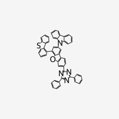 c1ccc(-c2nc(-c3ccccc3)nc(-c3ccc4c(c3)oc3c(-c5cccc6sc7ccccc7c56)cc(-n5c6ccccc6c6ccccc65)cc34)n2)cc1